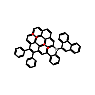 c1ccc(-c2c(-c3ccccc3)c3cc(-c4ccccc4N(c4ccc5c(ccc6ccccc65)c4)c4cc5ccccc5c5ccccc45)ccc3c3ccccc23)cc1